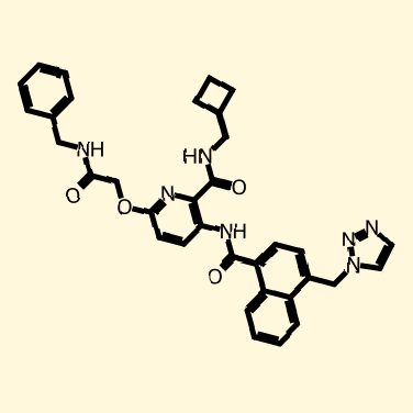 O=C(COc1ccc(NC(=O)c2ccc(Cn3ccnn3)c3ccccc23)c(C(=O)NCC2CCC2)n1)NCc1ccccc1